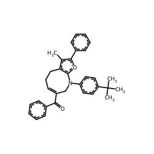 Cc1c(-c2ccccc2)oc2c1CCC=C(C(=O)c1ccccc1)CN2c1ccc(C(C)(C)C)cc1